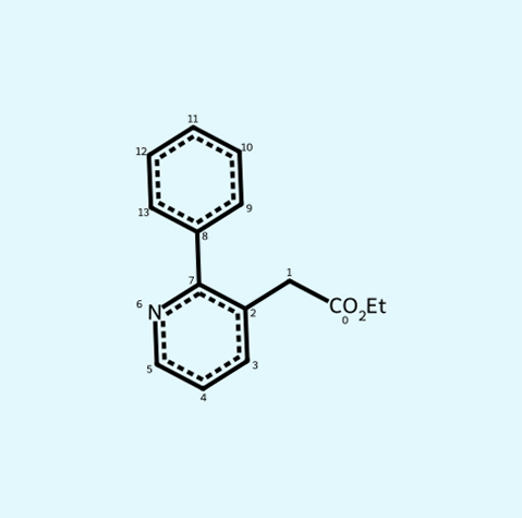 CCOC(=O)Cc1cccnc1-c1ccccc1